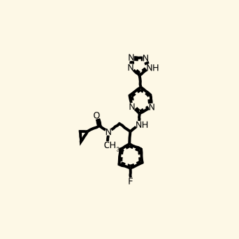 CN(CC(Nc1ncc(-c2nnn[nH]2)cn1)c1ccc(F)cc1)C(=O)C1CC1